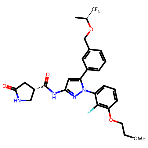 COCCOc1cccc(-n2nc(NC(=O)[C@@H]3CNC(=O)C3)cc2-c2cccc(CO[C@H](C)C(F)(F)F)c2)c1F